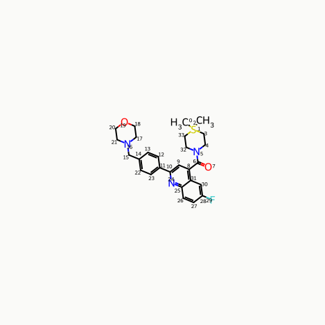 CS1(C)CCN(C(=O)c2cc(-c3ccc(CN4CCOCC4)cc3)nc3ccc(F)cc23)CC1